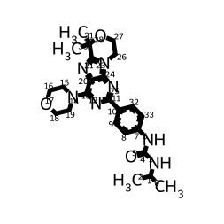 CC(C)NC(=O)Nc1ccc(-c2nc(N3CCOCC3)c3nc4n(c3n2)CCOC4(C)C)cc1